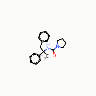 CC(Cc1ccccc1)(NC(=O)N1CCCC1)c1ccccc1